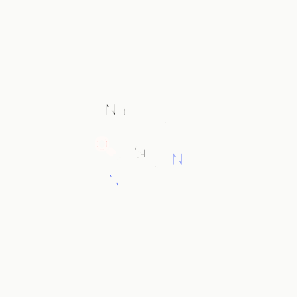 Cc1n[si](C)[si](C(=O)N(C)C)c(C)c1C.[Na]